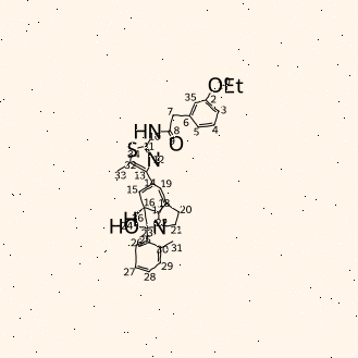 CCOc1cccc(CC(=O)Nc2nc(C3=C[C@@H]4C5C(=C3)CCN5C4(O)c3ccccc3C)c(C)s2)c1